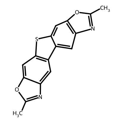 Cc1nc2cc3c(cc2o1)sc1cc2oc(C)nc2cc13